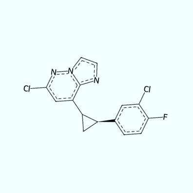 Fc1ccc([C@H]2CC2c2cc(Cl)nn3ccnc23)cc1Cl